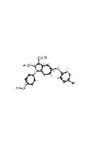 CCOC(=O)c1c(C(=O)O)n(-c2ccc(OC(C)C)cc2)c2ccc(Oc3ccc(N)cn3)cc12